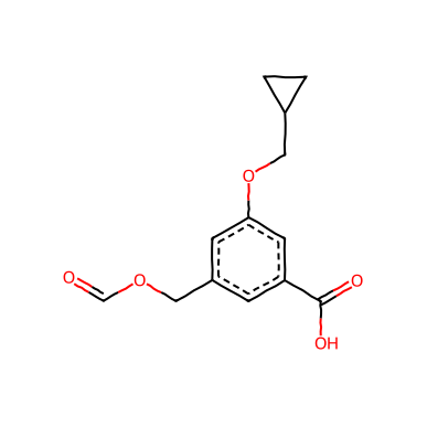 O=COCc1cc(OCC2CC2)cc(C(=O)O)c1